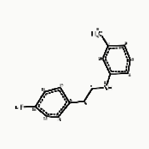 Cc1cccc(NCCc2ccc(F)cc2)c1